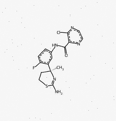 C[C@@]1(c2cc(NC(=O)c3nccnc3Cl)ccc2F)CCSC(N)=N1